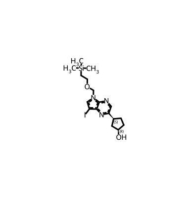 C[Si](C)(C)CCOCn1cc(I)c2nc([C@H]3CC[C@@H](O)C3)cnc21